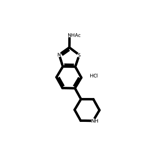 CC(=O)Nc1nc2ccc(C3CCNCC3)cc2s1.Cl